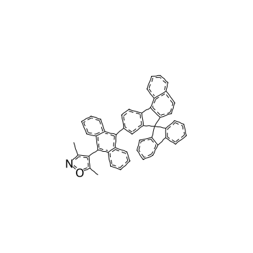 Cc1noc(C)c1-c1c2ccccc2c(-c2ccc3c(c2)C2(c4ccccc4-c4ccccc42)c2ccc4ccccc4c2-3)c2ccccc12